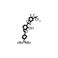 CCCCN(CCCC)c1ccc(-c2cc3ccc(-c4nc5cc(C(C)(C(F)(F)F)C(F)(F)F)ccc5o4)c(O)c3o2)cc1